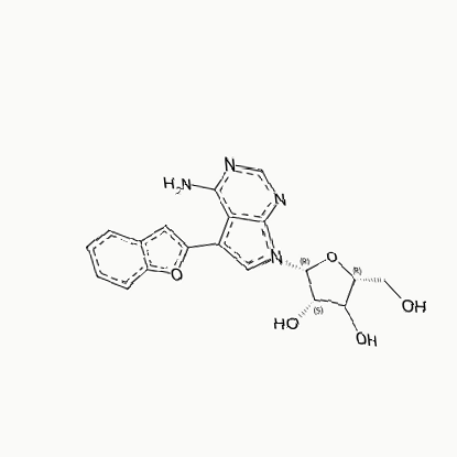 Nc1ncnc2c1c(-c1cc3ccccc3o1)cn2[C@@H]1O[C@H](CO)C(O)[C@@H]1O